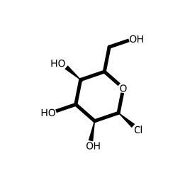 OCC1O[C@@H](Cl)[C@@H](O)C(O)[C@H]1O